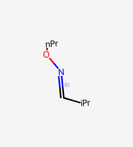 CCCO/N=C/C(C)C